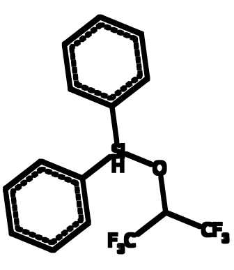 FC(F)(F)C(O[SiH](c1ccccc1)c1ccccc1)C(F)(F)F